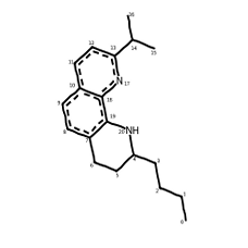 CCCCC1CCc2ccc3ccc(C(C)C)nc3c2N1